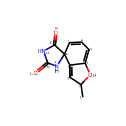 CC1C=C2C(=CC=CC23NC(=O)NC3=O)O1